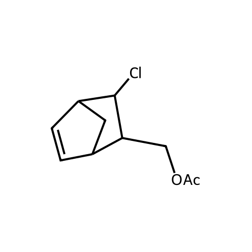 CC(=O)OCC1C2C=CC(C2)C1Cl